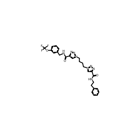 O=C(NCCc1ccccc1)c1cn(CCCCn2cc(C(=O)NCc3cccc(OC(F)(F)F)c3)nn2)nn1